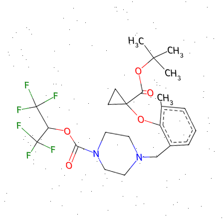 Cc1cccc(CN2CCN(C(=O)OC(C(F)(F)F)C(F)(F)F)CC2)c1OC1(C(=O)OC(C)(C)C)CC1